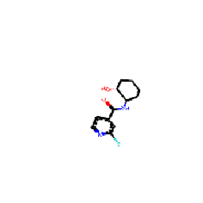 O=C(N[C@@H]1CCCC[C@H]1O)c1ccnc(F)c1